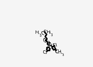 Cc1ccc(N2CCN(C(=O)CCCC(C)C)C[C@H]2c2ccc(Cl)cc2)c(Cl)c1